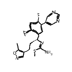 CS/C(N)=N\[C@@H](CCc1cnoc1C)c1cc(-c2cncnc2)c(F)cc1F